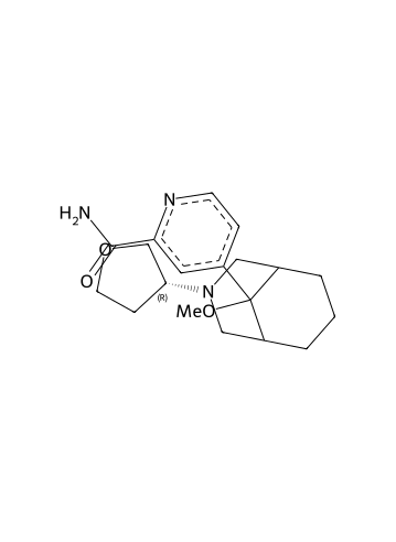 COC1(c2ccnc(C(N)=O)c2)C2CCCC1CN([C@@H]1CCOC1)C2